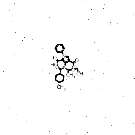 CCOC(=O)c1cn(-c2ccccc2)c(C(=O)O)c1N(C(=O)[C@H]1CC[C@H](C)CC1)C(C)C